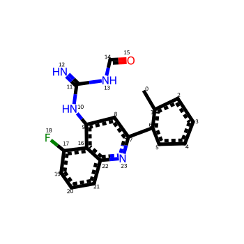 Cc1ccccc1-c1cc(NC(=N)NC=O)c2c(F)cccc2n1